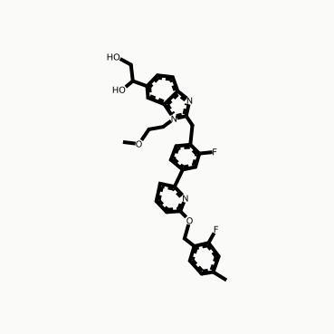 COCCn1c(Cc2ccc(-c3cccc(OCc4ccc(C)cc4F)n3)cc2F)nc2ccc(C(O)CO)cc21